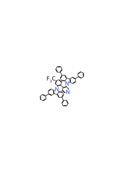 FC(F)(F)c1ccc(-c2ccncc2-n2c3ccc(-c4ccccc4)cc3c3cc(-c4ccccc4)ccc32)c(-n2c3ccc(-c4ccccc4)cc3c3cc(-c4ccccc4)ccc32)c1